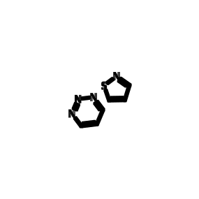 c1cnnnc1.c1cnsc1